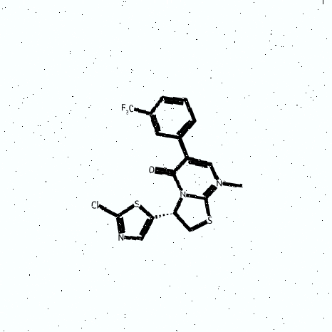 C[n+]1cc(-c2cccc(C(F)(F)F)c2)c(=O)n2c1SC[C@@H]2c1cnc(Cl)s1